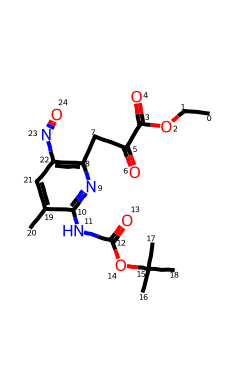 CCOC(=O)C(=O)Cc1nc(NC(=O)OC(C)(C)C)c(C)cc1N=O